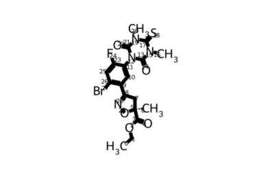 CCOC(=O)[C@]1(C)CC(c2cc(-n3c(=O)n(C)c(=S)n(C)c3=O)c(F)cc2Br)=NO1